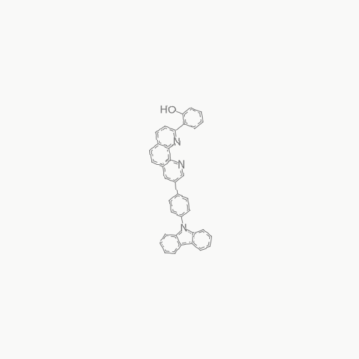 Oc1ccccc1-c1ccc2ccc3cc(-c4ccc(-n5c6ccccc6c6ccccc65)cc4)cnc3c2n1